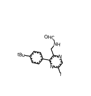 CC(C)(C)c1ccc(-c2nc(I)cnc2CNC=O)cc1